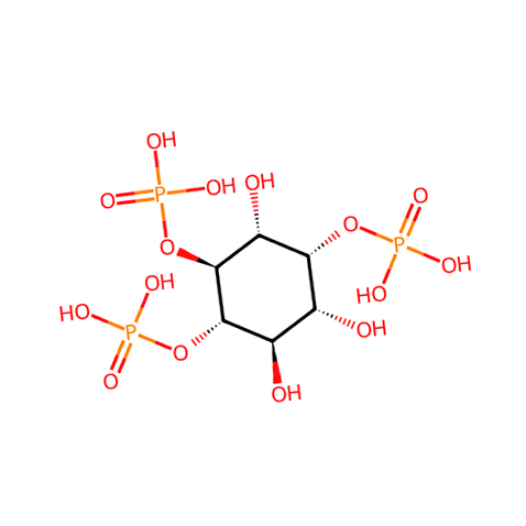 O=P(O)(O)O[C@@H]1[C@H](O)[C@@H](O)[C@H](OP(=O)(O)O)[C@@H](OP(=O)(O)O)[C@@H]1O